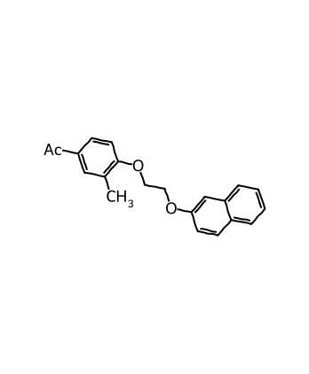 CC(=O)c1ccc(OCCOc2ccc3ccccc3c2)c(C)c1